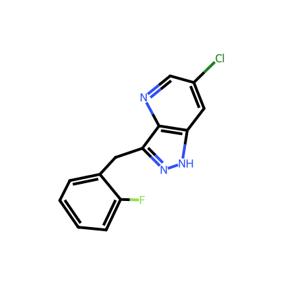 Fc1ccccc1Cc1n[nH]c2cc(Cl)cnc12